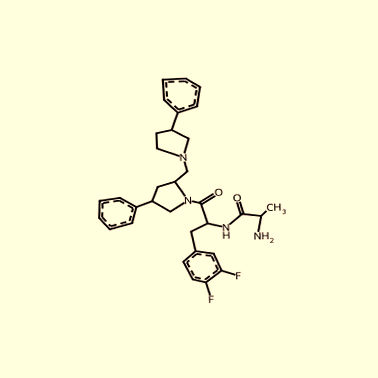 CC(N)C(=O)NC(Cc1ccc(F)c(F)c1)C(=O)N1CC(c2ccccc2)CC1CN1CCC(c2ccccc2)C1